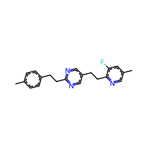 Cc1ccc(CCc2ncc(CCc3ncc(C)cc3F)cn2)cc1